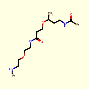 CC(C)NCCOCCNC(=O)CCOC(C)CCNC(=O)C(C)C